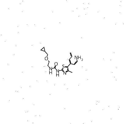 C=C/C=C(\C=C/N)c1sc(NC(=O)N[C@H](C)COCC2CC2)nc1C